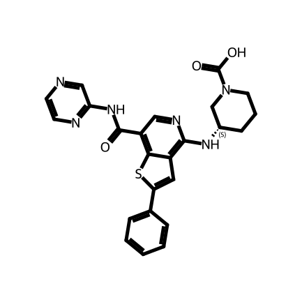 O=C(Nc1cnccn1)c1cnc(N[C@H]2CCCN(C(=O)O)C2)c2cc(-c3ccccc3)sc12